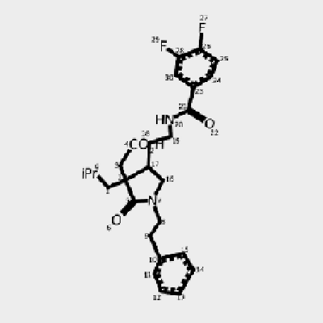 CC(C)CC1(CC(=O)O)C(=O)N(CCc2ccccc2)CC1CCNC(=O)c1ccc(F)c(F)c1